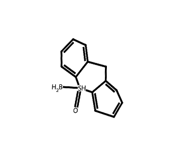 B[SH]1(=O)c2ccccc2Cc2ccccc21